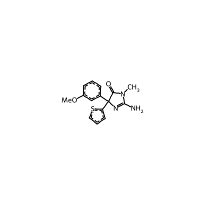 COc1cccc(C2(c3cccs3)N=C(N)N(C)C2=O)c1